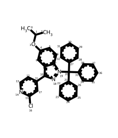 CC(C)Oc1ccc2c(c1)c(-c1ccnc(Cl)c1)nn2C(c1ccccc1)(c1ccccc1)c1ccccc1